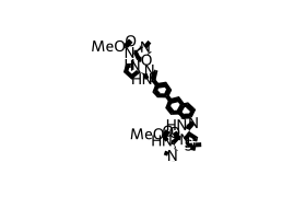 COC(=O)N[C@@H](CN(C)C)C(=O)N1CCC[C@H]1c1ncc(-c2ccc(-c3ccc4c(ccc5nc([C@@H]6C[Si](C)(C)CN6C(=O)[C@H](CN(C)C)NC(=O)OC)[nH]c54)c3)cc2)[nH]1